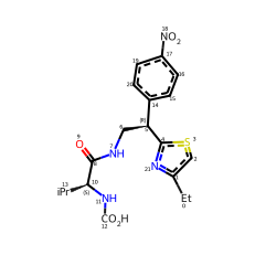 CCc1csc([C@@H](CNC(=O)[C@@H](NC(=O)O)C(C)C)c2ccc([N+](=O)[O-])cc2)n1